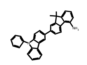 CC1(C)c2cc(-c3ccc4c(c3)c3ccccc3n4-c3ccccc3)ccc2-c2c(N)cccc21